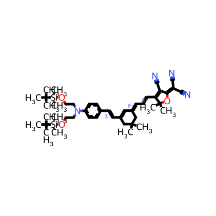 CC1(C)CC(/C=C/c2ccc(N(CCO[Si](C)(C)C(C)(C)C)CCO[Si](C)(C)C(C)(C)C)cc2)=CC(=C/C=C/C2=C(C#N)C(=C(C#N)C#N)OC2(C)C)/C1